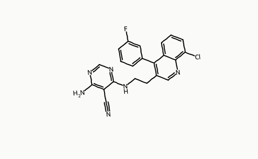 N#Cc1c(N)ncnc1NCCc1cnc2c(Cl)cccc2c1-c1cccc(F)c1